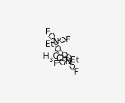 CCC1(N(c2ccc(F)cc2)c2ccc(F)cc2)Cc2cc3c(cc21)C(C)(C)c1cc2c(cc1-3)C2(CC)N(c1ccc(F)cc1)c1ccc(F)cc1